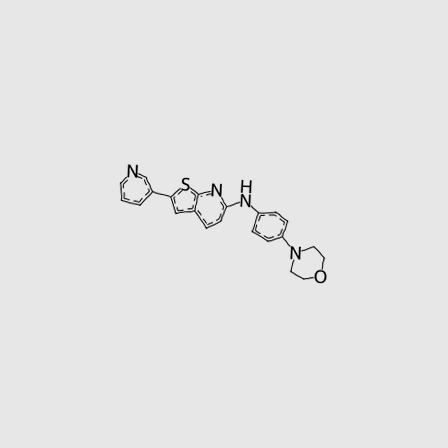 c1cncc(-c2cc3ccc(Nc4ccc(N5CCOCC5)cc4)nc3s2)c1